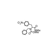 CNC(=O)C(Cc1ccc([N+](=O)[O-])cc1)N(Cc1ccccc1)C(=O)OC